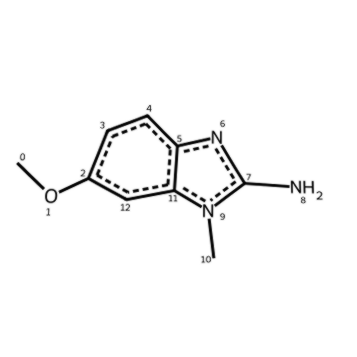 COc1ccc2nc(N)n(C)c2c1